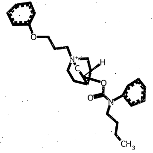 CCCCN(C(=O)O[C@H]1C[N+]2(CCCOc3ccccc3)CCC1CC2)c1ccccc1